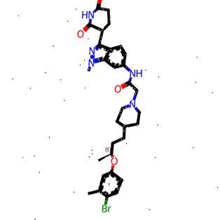 Cc1cc(O[C@@H](C)CCC2CCN(CC(=O)Nc3ccc4c(C5CCC(=O)NC5=O)nn(C)c4c3)CC2)ccc1Br